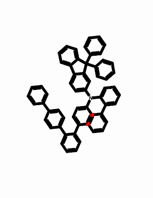 c1ccc(-c2ccc(-c3ccccc3-c3ccc(N(c4ccc5c(c4)C(c4ccccc4)(c4ccccc4)c4ccccc4-5)c4ccccc4-c4ccccc4)cc3)cc2)cc1